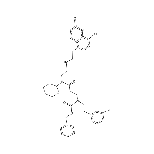 O=C(OCc1ccccc1)N(CCC(=O)N(CCNCCc1ccc(O)c2[nH]c(=O)ccc12)C1CCCCC1)CCc1cccc(F)c1